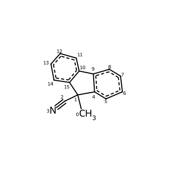 CC1(C#N)c2ccccc2-c2ccccc21